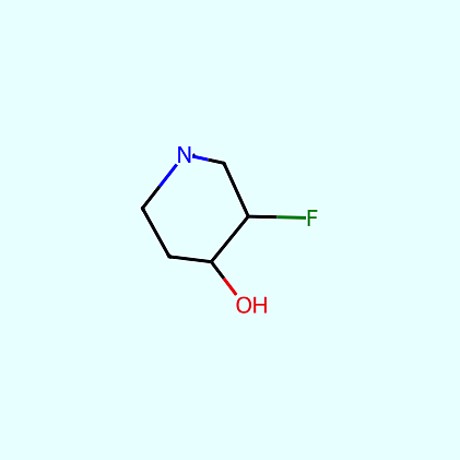 OC1CC[N]CC1F